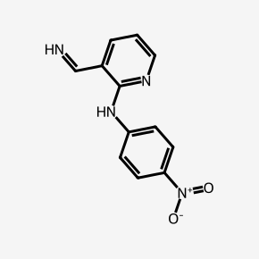 N=Cc1cccnc1Nc1ccc([N+](=O)[O-])cc1